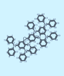 c1ccc(N(c2ccccc2)c2cc3oc4cc5c(cc4n4c6ccccc6n(-c6ccccc6)c(c2)c34)n2c3ccccc3n(-c3ccccc3)c3cc(N(c4ccccc4)c4ccccc4)cc(c32)n5-c2ccccc2)cc1